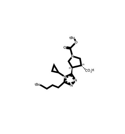 CC(C)(C)CCCc1nnc([C@H]2CN(C(=O)OC(C)(C)C)C[C@@H]2C(=O)O)n1C1CC1